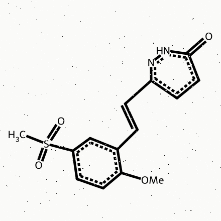 COc1ccc(S(C)(=O)=O)cc1/C=C/c1ccc(=O)[nH]n1